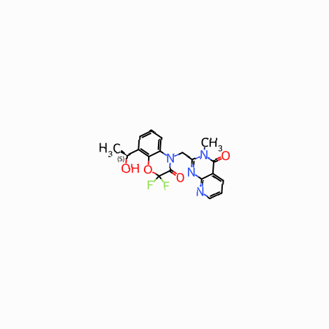 C[C@H](O)c1cccc2c1OC(F)(F)C(=O)N2Cc1nc2ncccc2c(=O)n1C